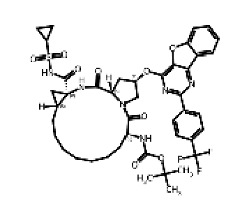 CC(C)(C)OC(=O)N[C@H]1CCCCCCC[C@@H]2C[C@@]2(C(=O)NS(=O)(=O)C2CC2)NC(=O)[C@@H]2C[C@@H](Oc3nc(-c4ccc(C(F)(F)F)cc4)nc4c3oc3ccccc34)CN2C1=O